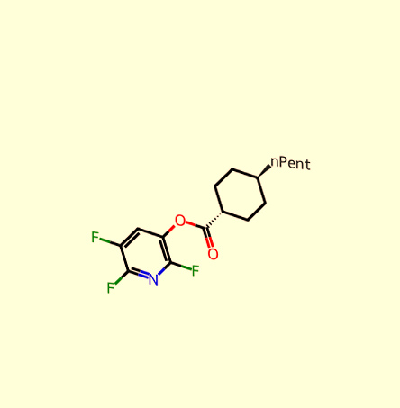 CCCCC[C@H]1CC[C@H](C(=O)Oc2cc(F)c(F)nc2F)CC1